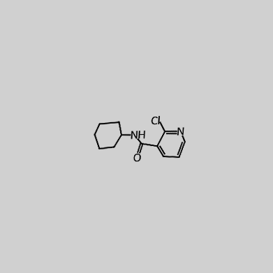 O=C(NC1CCCCC1)c1cccnc1Cl